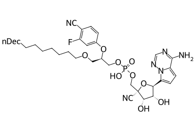 CCCCCCCCCCCCCCCCCOC[C@H](COP(=O)(O)OC[C@@]1(C#N)O[C@@H](c2ccc3c(N)ncnn23)[C@H](O)[C@@H]1O)Oc1ccc(C#N)c(F)c1